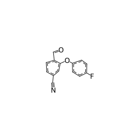 N#Cc1ccc(C=O)c(Oc2ccc(F)cc2)c1